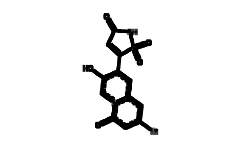 CCc1cc(=O)n2cc(O)c(C3=CC(=O)NS3(=O)=O)cc2c1